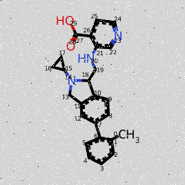 Cc1ccccc1-c1ccc2c(c1)CN(C1CC1)C2CNc1cnccc1C(=O)O